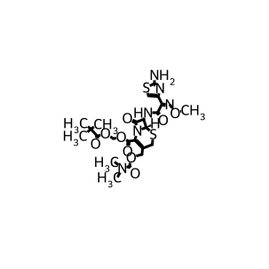 CO/N=C(\C(=O)NC1C(=O)N2C(C(=O)OCOC(=O)C(C)(C)C)=C(COC(=O)N(C)C)CS[C@@H]12)c1csc(N)n1